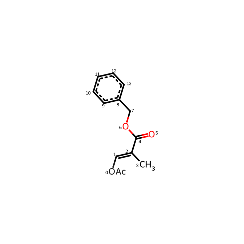 CC(=O)OC=C(C)C(=O)OCc1ccccc1